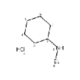 CCNC1CCCCC1.Cl